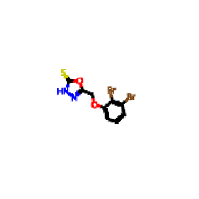 S=c1[nH]nc(COc2cccc(Br)c2Br)o1